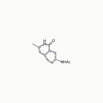 CC(=O)Nc1ccc2cc(C)[nH]c(=O)c2c1